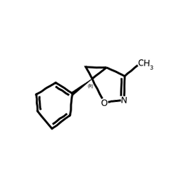 CC1=NO[C@]2(c3ccccc3)CC12